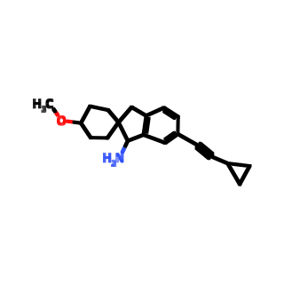 COC1CCC2(CC1)Cc1ccc(C#CC3CC3)cc1C2N